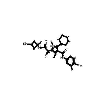 Cc1cc(NC(=O)c2c(C)c(C(=O)C(=O)NC3(C)CC(O)C3)n(C)c2C2CCCCC2)ccc1F